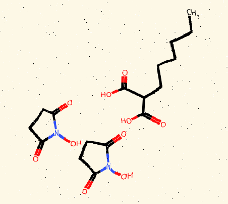 CCCCCCC(C(=O)O)C(=O)O.O=C1CCC(=O)N1O.O=C1CCC(=O)N1O